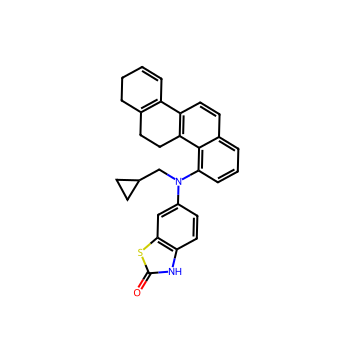 O=c1[nH]c2ccc(N(CC3CC3)c3cccc4ccc5c(c34)CCC3=C5C=CCC3)cc2s1